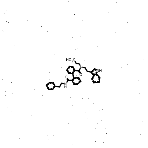 O=C(O)CCN(CCc1c[nH]c2ccccc12)C(=O)c1ccccc1-c1ccccc1C(=O)NCCc1ccccc1